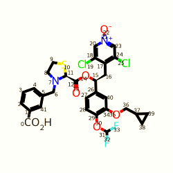 O=C(O)c1cccc(CN2CCS[C@H]2C(=O)O[C@@H](Cc2c(Cl)c[n+]([O-])cc2Cl)c2ccc(OC(F)F)c(OCC3CC3)c2)c1